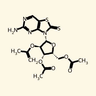 C=C(C)O[C@@H]1[C@@H](OC(C)=O)[C@@H](COC(C)=O)O[C@H]1n1c(=S)sc2cnc(N)nc21